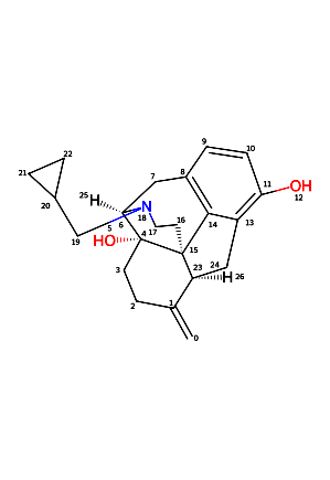 C=C1CC[C@@]2(O)[C@H]3Cc4ccc(O)c5c4[C@@]2(CCN3CC2CC2)[C@H]1C5